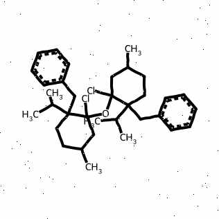 CC1CCC(Cc2ccccc2)(C(C)C)C(Cl)(OC2(Cl)CC(C)CCC2(Cc2ccccc2)C(C)C)C1